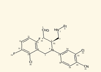 CCNC[C@H](CC=O)N(Cc1c(F)ccc(F)c1Cl)c1ccc(C#N)c(Cl)c1